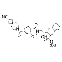 CC(C)(C)OC(=O)N1Cc2ccccc2C[C@H]1[C@H](O)CN1CC(C)(C)c2cc(C(=O)N3CCC4(CC3)CC(C#N)C4)ccc2C1=O